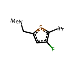 CNCc1cc(F)c(C(C)C)s1